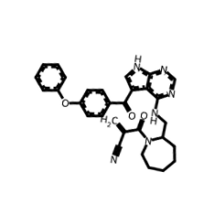 C=C(C#N)C(=O)N1CCCCCC1CNc1ncnc2[nH]cc(C(=O)c3ccc(Oc4ccccc4)cc3)c12